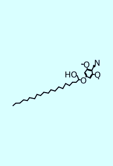 CCCCCCCCCCCCCCCCCCCC(CO)Oc1cc(OC)c(C#N)c(OC)c1